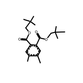 Cc1cc(C(=O)OCC(C)(C)C)c(C(=O)OCC(C)(C)C)cc1C